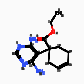 CCOC(=O)C1(c2c(N)ncnc2N)CC=CCC1